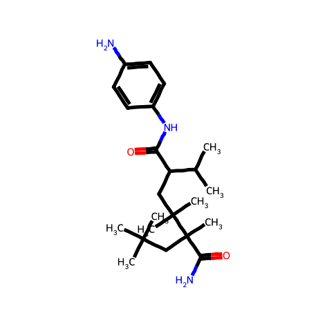 CC(C)C(CC(C)(C)C(C)(CC(C)(C)C)C(N)=O)C(=O)Nc1ccc(N)cc1